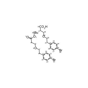 CC(C)(C)OC(=O)CCOCCc1ccc(Br)cc1.O=C(O)CCOCCc1ccc(Br)cc1